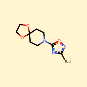 CC(C)(C)c1noc(N2CCC3(CC2)OCCO3)n1